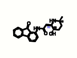 C[C@H]1CC[C@H](O)/C(=C\C(=O)Nc2cccc3c2C(=O)c2ccccc2-3)N1